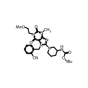 COCCn1c(=O)c2c(nc(N3CCCC(NC(=O)OC(C)(C)C)C3)n2Cc2ccccc2C#N)n(C)c1=O